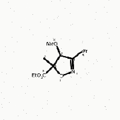 CCOC(=O)C1(C)ON=C(C(C)C)C1OC